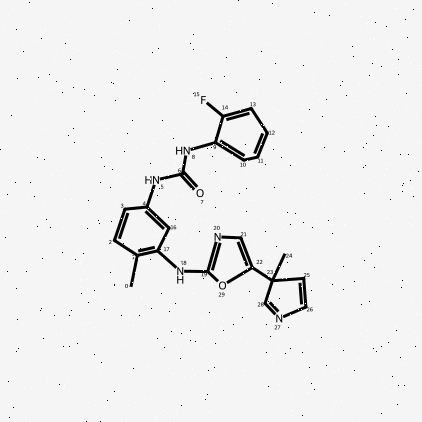 Cc1ccc(NC(=O)Nc2ccccc2F)cc1Nc1ncc(C2(C)C=CN=C2)o1